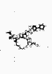 CC(C)(C)OC(=O)NC1COCCC/C=C/C2CC2(C(=O)NS(=O)(=O)C2CC2)NC(=O)C2CC(OC(=O)Nc3ccc(-c4ccccc4)cc3)CN2C1=O